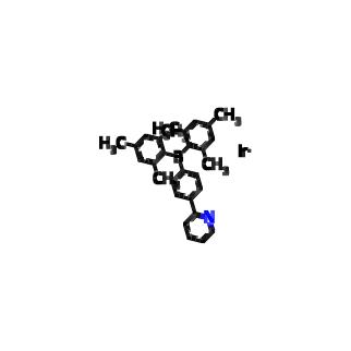 Cc1cc(C)c(B(c2ccc(-c3ccccn3)cc2)c2c(C)cc(C)cc2C)c(C)c1.[Ir]